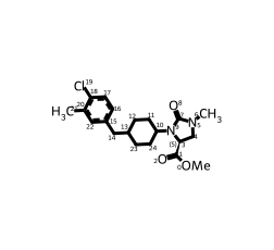 COC(=O)[C@@H]1CN(C)C(=O)N1C1CCC(Cc2ccc(Cl)c(C)c2)CC1